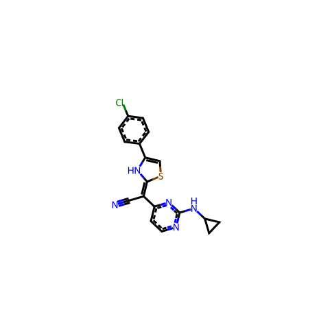 N#C/C(=C1\NC(c2ccc(Cl)cc2)=CS1)c1ccnc(NC2CC2)n1